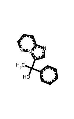 CC(O)(c1ccccc1)c1cnc2cccnn12